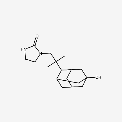 CC(C)(CN1CCNC1=O)C1C2CC3CC1CC(O)(C3)C2